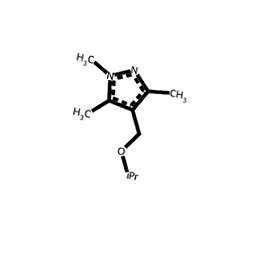 Cc1nn(C)c(C)c1COC(C)C